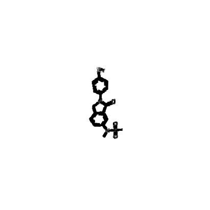 CC(C)c1ccc(N2Cc3ccc(N(C)S(C)(=O)=O)cc3C2=O)cc1